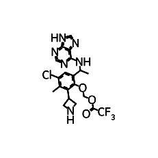 Cc1c(Cl)cc(C(C)Nc2ncnc3[nH]cnc23)c(OCOC(=O)C(F)(F)F)c1C1CNC1